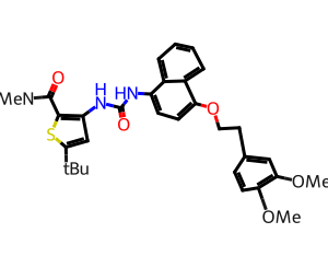 CNC(=O)c1sc(C(C)(C)C)cc1NC(=O)Nc1ccc(OCCc2ccc(OC)c(OC)c2)c2ccccc12